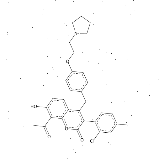 CC(=O)c1c(O)ccc2c(Cc3ccc(OCCN4CCCC4)cc3)c(-c3ccc(C)cc3Cl)c(=O)oc12